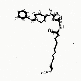 CCCCCCCCC=CCCCCCCCC(=O)Nc1nnc(NC2CCN(Cc3ccccc3)CC2)s1